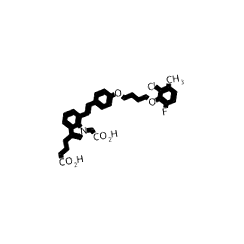 Cc1ccc(F)c(OCCCCOc2ccc(C=Cc3cccc4c(CCCC(=O)O)cn(CC(=O)O)c34)cc2)c1Cl